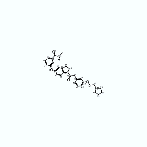 CNC(=O)c1cc(Oc2ccc3c(c2)CCN3C(=O)Cc2cccc(OCCN3CCCC3)c2)ccn1